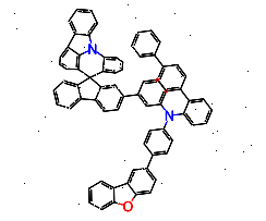 c1ccc(-c2ccc(-c3ccccc3N(c3ccc(-c4ccc5oc6ccccc6c5c4)cc3)c3cccc(-c4ccc5c(c4)C4(c6ccccc6-5)c5ccccc5-n5c6ccccc6c6cccc4c65)c3)cc2)cc1